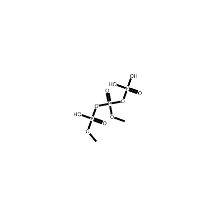 COP(=O)(O)OP(=O)(OC)OP(=O)(O)O